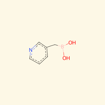 OB(O)Cc1cccnc1